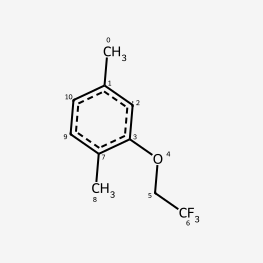 Cc1[c]c(OCC(F)(F)F)c(C)cc1